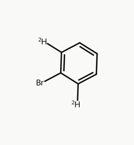 [2H]c1cccc([2H])c1Br